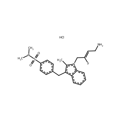 Cc1c(Cc2ccc(S(=O)(=O)N(C)C)cc2)c2ccccc2n1C/C(F)=C/CN.Cl